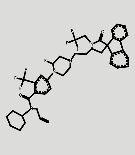 C=CCN(C(=O)c1ccc(N2CCN(CCCCC3(C(=O)NCC(F)(F)F)c4ccccc4-c4ccccc43)CC2F)cc1C(F)(F)F)C1CCCCC1